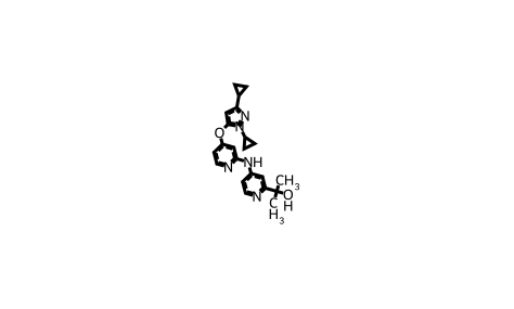 CC(C)(O)c1cc(Nc2cc(Oc3cc(C4CC4)nn3C3CC3)ccn2)ccn1